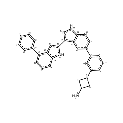 NC1CN(c2cncc(-c3cnc4[nH]nc(-c5cc6c(-c7ccncc7)cccc6[nH]5)c4c3)n2)C1